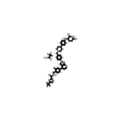 Cc1cc(-c2ccnc3nn(-c4ccc(CN5CCC(c6ccc(NC7CCC(=O)NC7=O)cc6)CC5)cc4)cc23)ccc1CNC(=O)c1noc(C(C)(C)C)n1.O=C(O)C(F)(F)F